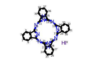 I.c1ccc2c(c1)-c1nc-2nc2[nH]c(nc3nc(nc4[nH]c(n1)c1ccccc41)-c1ccccc1-3)c1ccccc21